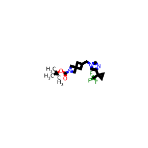 CC(C)(C)OC(=O)N1CC2(CC(Cn3cnc(C4(C(F)(F)F)CC4)c3)C2)C1